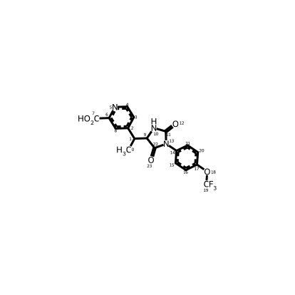 CC(c1ccnc(C(=O)O)c1)C1NC(=O)N(c2ccc(OC(F)(F)F)cc2)C1=O